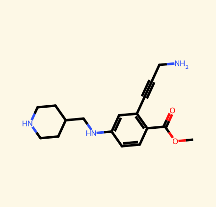 COC(=O)c1ccc(NCC2CCNCC2)cc1C#CCN